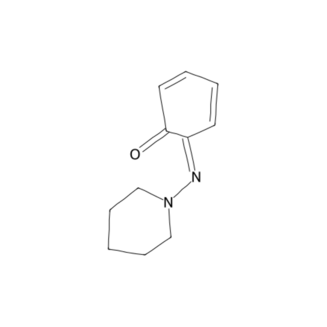 O=C1C=CC=CC1=NN1CCCCC1